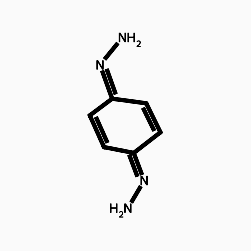 NN=C1C=CC(=NN)C=C1